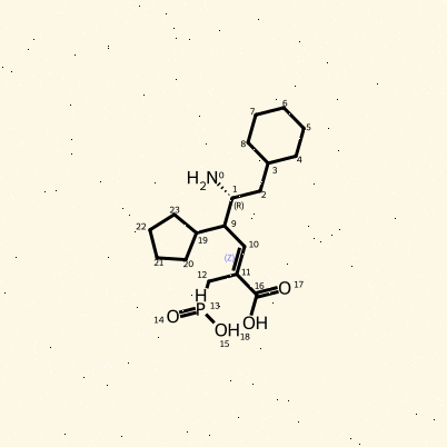 N[C@H](CC1CCCCC1)C(/C=C(\C[PH](=O)O)C(=O)O)C1CCCC1